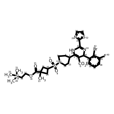 CCOC(=O)C1=C(C2CCN(S(=O)(=O)C3CC(C)(C(=O)OCC[Si](C)(C)C)C3)CC2)NC(c2nccs2)=NC1c1cccc(F)c1Br